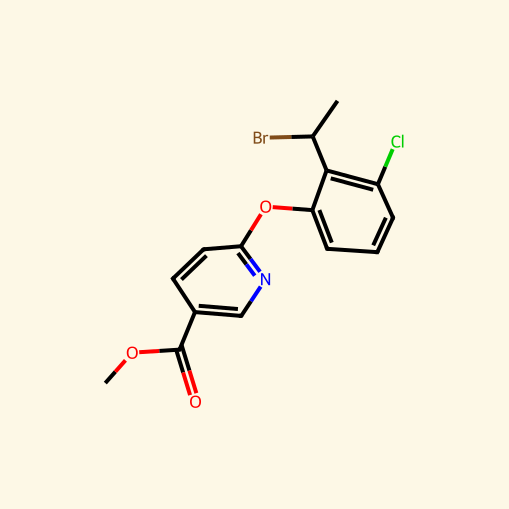 COC(=O)c1ccc(Oc2cccc(Cl)c2C(C)Br)nc1